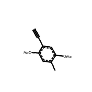 C#Cc1cc(OC)c(C)cc1OC